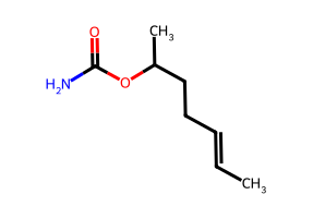 CC=CCCC(C)OC(N)=O